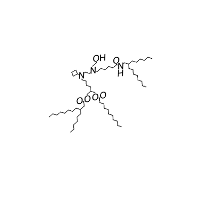 CCCCCCCCCCC(=O)OCC(CCCCN(CCN(CCO)CCCCCC(=O)NCC(CCCCCC)CCCCCCCC)C1CCC1)COC(=O)CC(CCCCCC)CCCCCCCC